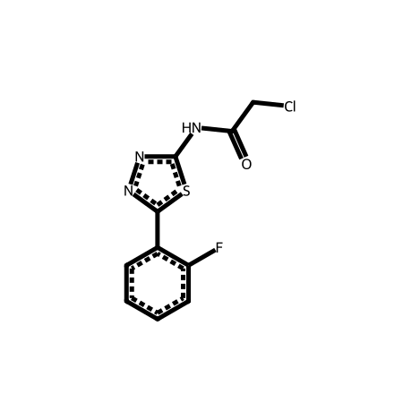 O=C(CCl)Nc1nnc(-c2ccccc2F)s1